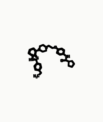 CCc1ccc(-c2nc3c(N4CCN(CCOc5ccc(NC(=O)C6CCCC6)cc5)CC4)cccc3[nH]2)cc1